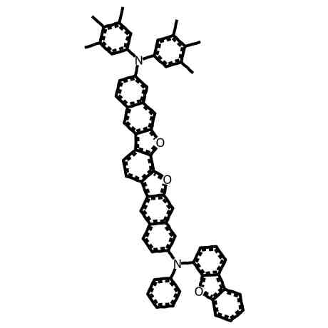 Cc1cc(N(c2cc(C)c(C)c(C)c2)c2ccc3cc4c(cc3c2)oc2c4ccc3c4cc5ccc(N(c6ccccc6)c6cccc7c6oc6ccccc67)cc5cc4oc32)cc(C)c1C